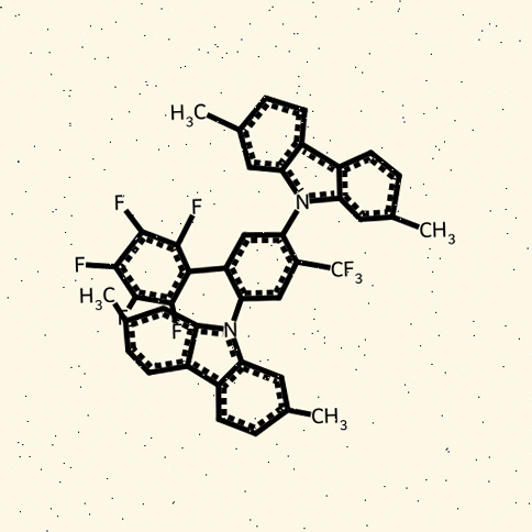 Cc1ccc2c3ccc(C)cc3n(-c3cc(C(F)(F)F)c(-n4c5cc(C)ccc5c5ccc(C)cc54)cc3-c3c(F)c(F)c(F)c(F)c3F)c2c1